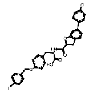 O=C(O)C(Cc1ccc(OCc2ccc(F)cc2)cc1)NC(=O)C1Cc2ccc(-c3ccc(Cl)cc3)cc2O1